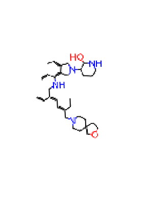 C=C/C(NC/C(C=C)=C/C=C(\CC)CN1CCC2(CCOC2)CC1)=C1/CN(C2CCCNC2O)C/C1=C/C